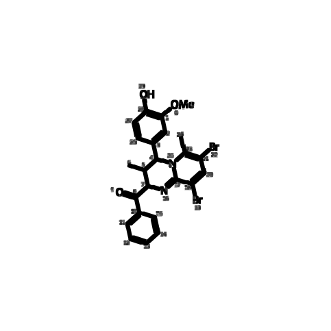 COc1cc(C2C(C)C(C(=O)c3ccccc3)N=C3C(Br)=CC(Br)=C(C)N32)ccc1O